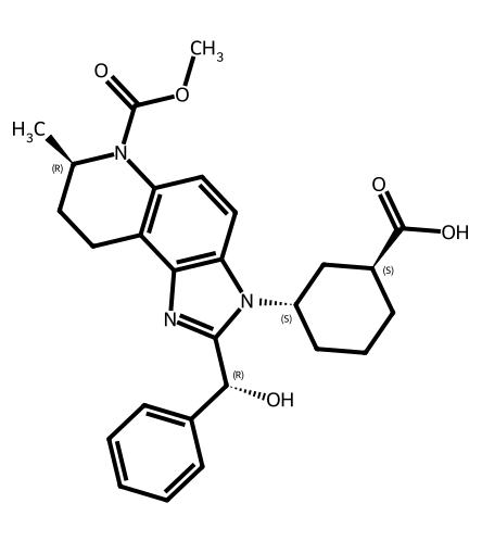 COC(=O)N1c2ccc3c(nc([C@H](O)c4ccccc4)n3[C@H]3CCC[C@H](C(=O)O)C3)c2CC[C@H]1C